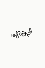 CCNC(=O)c1nccc2c1CN(C(C)c1cc(C)c(OCC(C)(F)F)nn1)C2=O